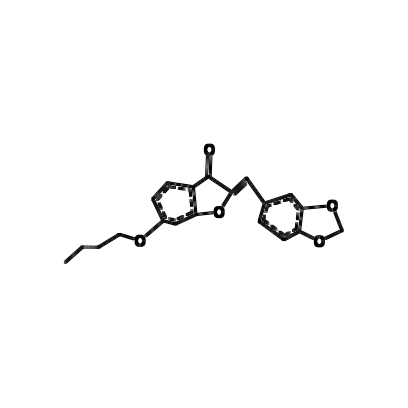 CCCCOc1ccc2c(c1)OC(=Cc1ccc3c(c1)OCO3)C2=O